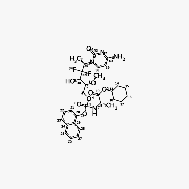 COC(COP(=O)(N[C@@H](C)C(=O)OC1CCCCC1)Oc1cccc2ccccc12)C(O)C(F)(F)[C@@H](C)n1ccc(N)nc1=O